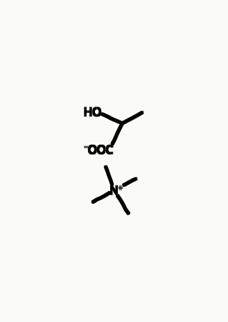 CC(O)C(=O)[O-].C[N+](C)(C)C